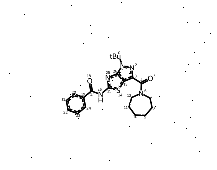 CC(C)(C)n1nc(C(=O)N2CCCCCC2)c2sc(NC(=O)c3ccccc3)nc21